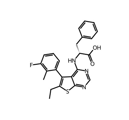 CCc1sc2ncnc(N[C@H](Cc3ccccc3)C(=O)O)c2c1-c1cccc(F)c1C